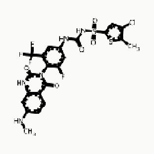 CNc1ccc2c(=O)n(-c3c(F)cc(NC(=O)NS(=O)(=O)c4cc(Cl)c(C)s4)cc3C(F)(F)F)c(=O)[nH]c2c1